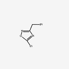 CCc1nc(CC(C)C)no1